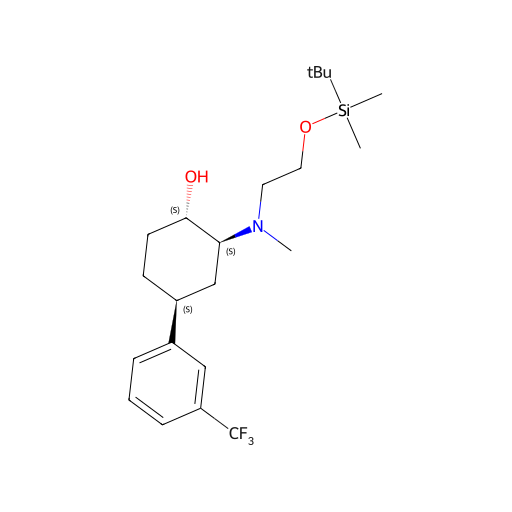 CN(CCO[Si](C)(C)C(C)(C)C)[C@H]1C[C@@H](c2cccc(C(F)(F)F)c2)CC[C@@H]1O